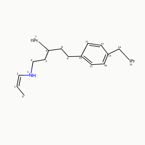 C/C=C\NCCC(CCC)CCc1ccc(CC(C)C)cc1